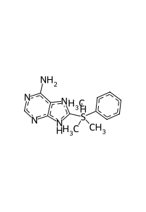 C[SH](C)(C)(c1ccccc1)c1nc2c(N)ncnc2[nH]1